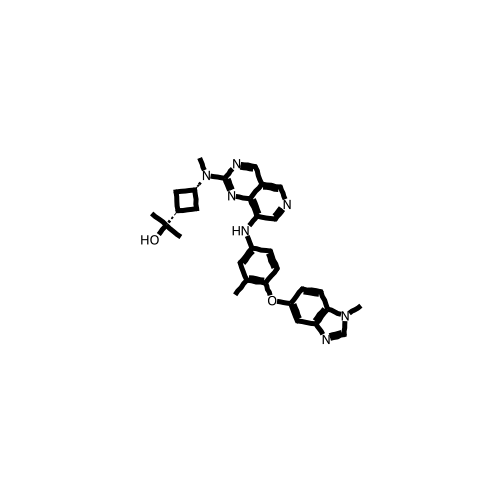 Cc1cc(Nc2cncc3cnc(N(C)[C@H]4C[C@@H](C(C)(C)O)C4)nc23)ccc1Oc1ccc2c(c1)ncn2C